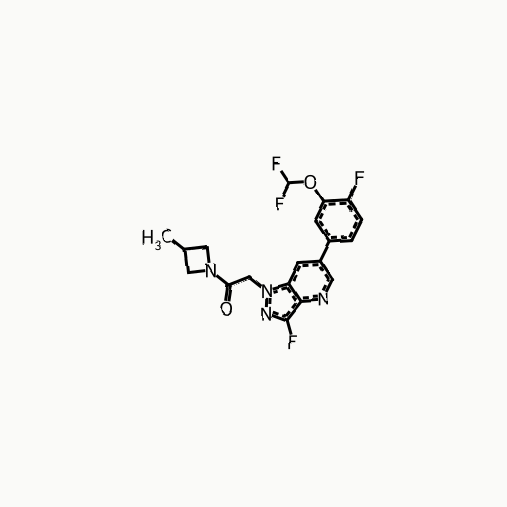 CC1CN(C(=O)Cn2nc(F)c3ncc(-c4ccc(F)c(OC(F)F)c4)cc32)C1